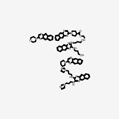 CCOC(=O)C1CCN(c2cnc3cc4ccccc4cc3n2)CC1.OCCCNc1nc2cc3ccccc3cc2nc1NCCCO.c1ccc2cc3nc(N4CCCCC4)cnc3cc2c1.c1ccc2cc3nc(N4CCOCC4)cnc3cc2c1.c1ccc2cc3nc(NCCCn4ccnc4)c(NCCCn4ccnc4)nc3cc2c1